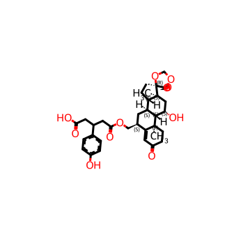 C[C@]12CCC(=O)C=C1[C@@H](COC(=O)CC(CC(=O)O)c1ccc(O)cc1)C[C@@H]1[C@@H]2[C@@H](O)C[C@@]2(C)[C@H]1CC[C@@]21OCOC12COCO2